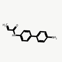 C=CC(=O)Nc1ccc(-c2ccc(N)cc2)cc1